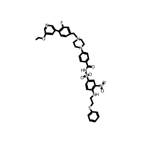 CCOc1cncc(-c2ccc(CN3CCN(c4ccc(C(=O)NS(=O)(=O)c5ccc(NCCSc6ccccc6)c([N+](=O)[O-])c5)cc4)CC3)cc2F)c1